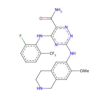 COc1cc2c(cc1Nc1nnc(C(N)=O)c(Nc3c(F)cccc3C(F)(F)F)n1)CCNC2